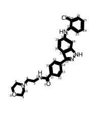 O=C(NCCN1CCOCC1)c1ccc(-c2n[nH]c3cc(Nc4ccccc4Cl)ccc23)cc1